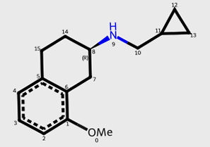 COc1cccc2c1C[C@H](NCC1CC1)CC2